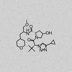 COCC(CC1CCOCC1)NC(=O)[C@@H]1C[C@@H](O)CN1C(=O)[C@@H](n1cc(C2CC2)nn1)C(C)(C)C